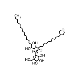 CCCCCCCCCCCCCC[C@@H](O)[C@@H](O)[C@H](COC1OC(CO)C(O)C(O)C1O)N=S(C)(=O)CCCCCCCCCCC1CCOCC1